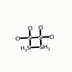 Cl[Si]1(Cl)[SiH2][SiH2][Si]1(Cl)Cl